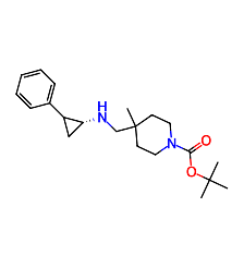 CC1(CN[C@@H]2CC2c2ccccc2)CCN(C(=O)OC(C)(C)C)CC1